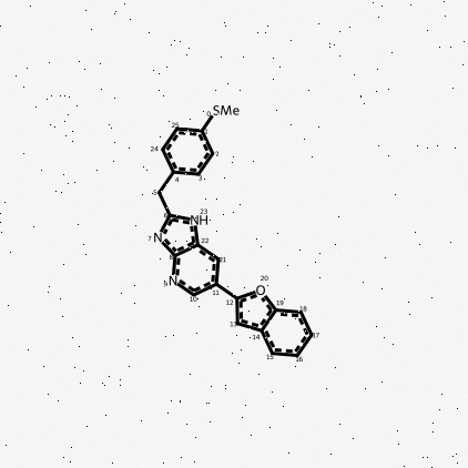 CSc1ccc(Cc2nc3ncc(-c4cc5ccccc5o4)cc3[nH]2)cc1